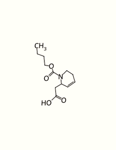 CCCCOC(=O)N1CCC=CC1CC(=O)O